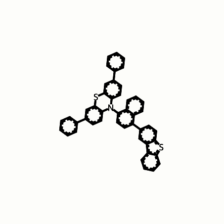 c1ccc(-c2ccc3c(c2)Sc2cc(-c4ccccc4)ccc2N3c2ccc(-c3ccc4sc5ccccc5c4c3)c3ccccc23)cc1